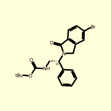 CC(C)(C)OC(=O)NC[C@@H](c1ccccc1)N1Cc2cc(Br)ccc2C1=O